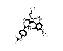 COc1cc(F)c(-c2c(NC(=O)c3ccc(OC(F)F)cc3)c(=O)n(CCO)n2C)c(F)c1